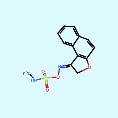 CCCNS(=O)(=O)O/N=C1\COc2ccc3ccccc3c21